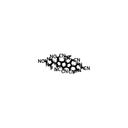 N#CC(C#N)=C1C(c2cnc(C#N)nc2F)=C(C#N)c2c(C#N)c3c(c(C#N)c21)C(=C(C#N)C#N)C(c1cnc(C#N)nc1F)=C3C#N